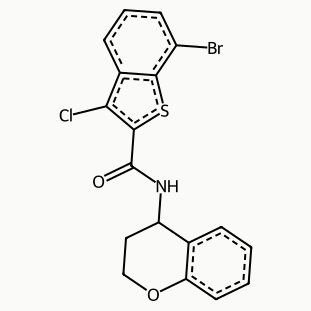 O=C(NC1CCOc2ccccc21)c1sc2c(Br)cccc2c1Cl